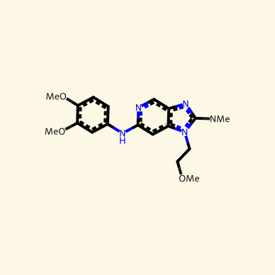 CNc1nc2cnc(Nc3ccc(OC)c(OC)c3)cc2n1CCOC